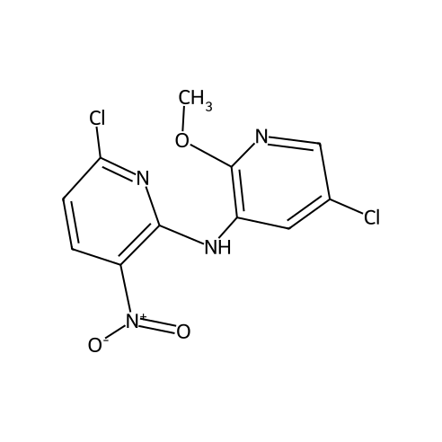 COc1ncc(Cl)cc1Nc1nc(Cl)ccc1[N+](=O)[O-]